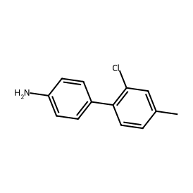 Cc1ccc(-c2ccc(N)cc2)c(Cl)c1